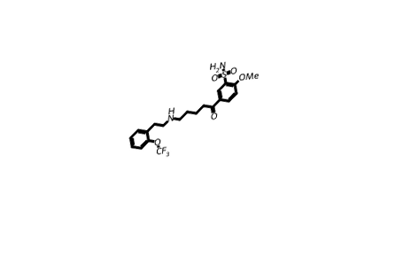 COc1ccc(C(=O)CCCCNCCc2ccccc2OC(F)(F)F)cc1S(N)(=O)=O